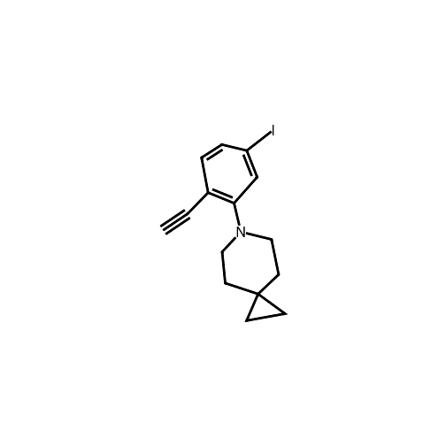 C#Cc1ccc(I)cc1N1CCC2(CC1)CC2